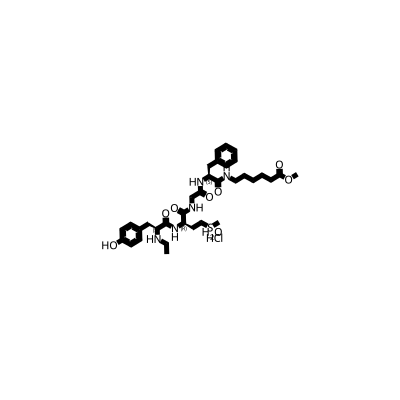 CCN[C@@H](Cc1ccc(O)cc1)C(=O)N[C@H](CCSC)C(=O)NCC(=O)N[C@@H](Cc1ccccc1)C(=O)NCCCCCC(=O)OC.Cl.O